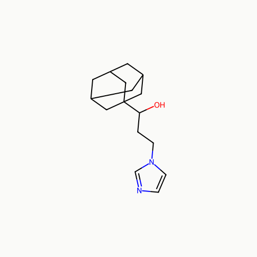 OC(CCn1ccnc1)C12CC3CC(CC(C3)C1)C2